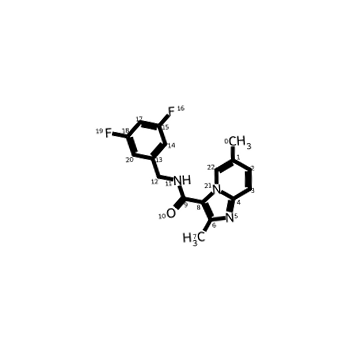 Cc1ccc2nc(C)c(C(=O)NCc3cc(F)cc(F)c3)n2c1